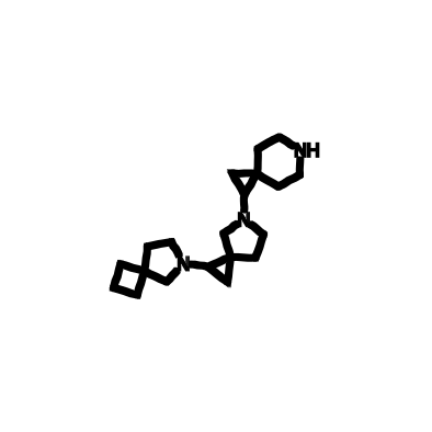 C1CC2(C1)CCN(C1CC13CCN(C1CC14CCNCC4)C3)C2